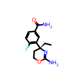 CC[C@]1(c2cc(C(N)=O)ccc2F)CCOC(N)=N1